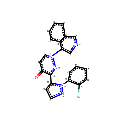 O=c1ccn(-c2cncc3ccccc23)nc1-c1ccnn1-c1ccccc1F